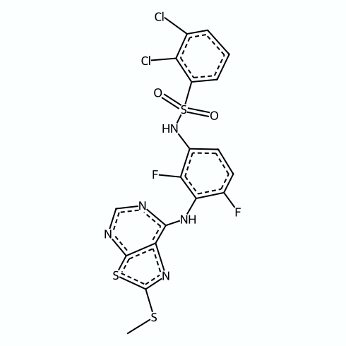 CSc1nc2c(Nc3c(F)ccc(NS(=O)(=O)c4cccc(Cl)c4Cl)c3F)ncnc2s1